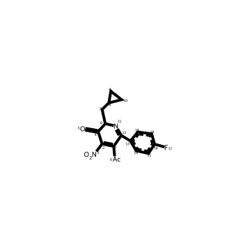 CC(=O)C1=C([N+](=O)[O-])C(=O)C(CC2CC2)N=C1c1ccc(F)cc1